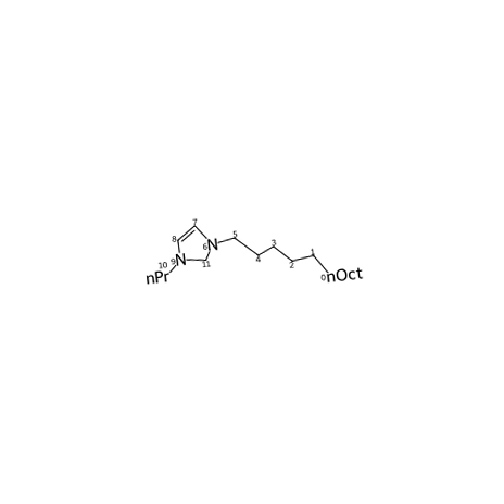 CCCCCCCCCCCCCN1C=CN(CCC)C1